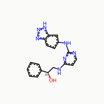 O[C@H](CNc1ccnc(Nc2ccc3nn[nH]c3c2)n1)c1ccccc1